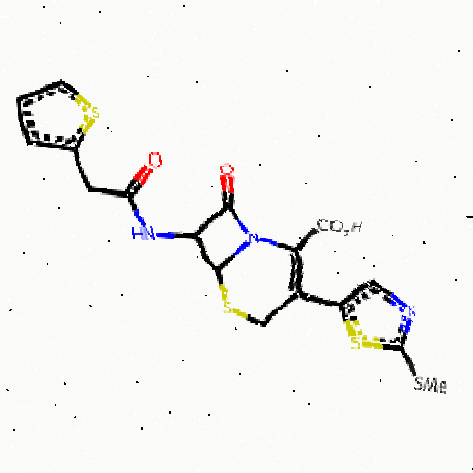 CSc1ncc(C2=C(C(=O)O)N3C(=O)C(NC(=O)Cc4cccs4)C3SC2)s1